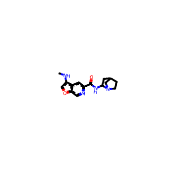 CNc1coc2cnc(C(=O)NC3CC4CCN3C4)cc12